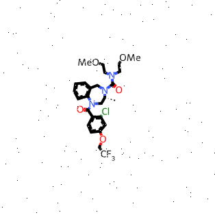 COCCN(CCOC)C(=O)N1Cc2ccccc2N(C(=O)c2ccc(OCC(F)(F)F)cc2Cl)C[C@H]1C